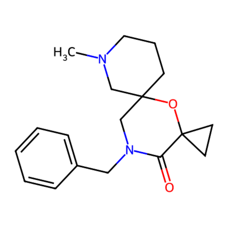 CN1CCCC2(C1)CN(Cc1ccccc1)C(=O)C1(CC1)O2